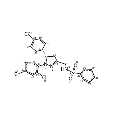 O=S(=O)(NCC1=NN(c2ccc(Cl)cc2Cl)[C@H](C2C=CC(Cl)=CC2)C1)c1ccccc1